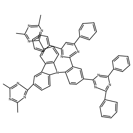 Cc1nc(C)nc(-c2ccc3c(c2)c2cc(-c4nc(C)nc(C)n4)ccc2n3-c2ccc(-c3nc(-c4ccccc4)nc(-c4ccccc4)n3)cc2-c2nc(-c3ccccc3)cc(-c3ccccc3)n2)n1